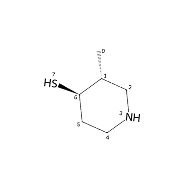 C[C@@H]1CNCC[C@H]1S